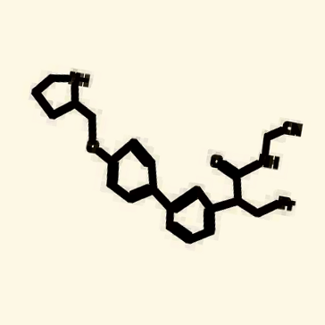 CC(C)CC(C(=O)NCC#N)c1cccc(-c2ccc(OCC3CCCN3)cc2)c1